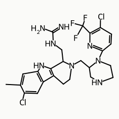 Cc1cc2[nH]c3c(c2cc1Cl)CCN(CC1CNCCN1c1ccc(Cl)c(C(F)(F)F)n1)C3CNC(=N)N